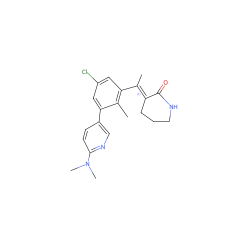 C/C(=C1/CCCNC1=O)c1cc(Cl)cc(-c2ccc(N(C)C)nc2)c1C